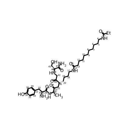 CCC(=O)NCCCCCCCCCCC(=O)NCCCC[C@H](CC(=O)[C@@H](C)NC(=O)[C@@H](N)Cc1ccc(O)cc1)C(=O)CN[C@@H](CO)C(N)=O